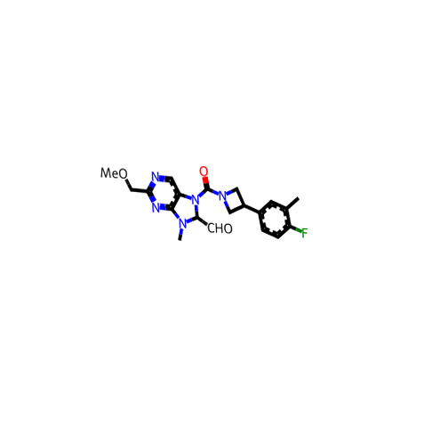 COCc1ncc2c(n1)N(C)C(C=O)N2C(=O)N1CC(c2ccc(F)c(C)c2)C1